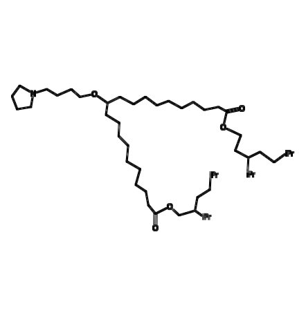 CC(C)CCC(CCOC(=O)CCCCCCCCCC(CCCCCCCCCC(=O)OCC(CCC(C)C)C(C)C)OCCCCN1CCCC1)C(C)C